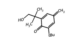 C=C1C=C(C(C)(C)C)C(=O)C(C(C)(C)CO)=C1